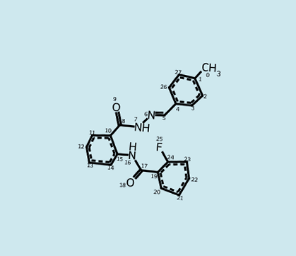 Cc1ccc(C=NNC(=O)c2ccccc2NC(=O)c2ccccc2F)cc1